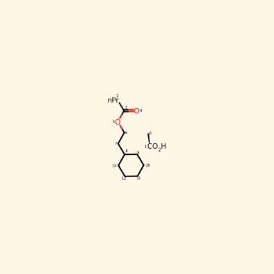 CC(=O)O.CCCC(=O)OCCC1CCCCC1